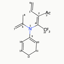 C=C/C(C(C)=O)=C(\N(C(=C)C)C1=CCCC=C1)C(F)(F)F